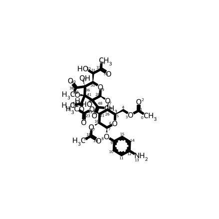 CC(=O)OC[C@H]1O[C@H](Oc2ccc(N)cc2)[C@H](OC(C)=O)[C@@H](OC(C)=O)[C@@H]1O[C@@H]1O[C@H](C(O)C(C)=O)[C@](O)(C(C)=O)[C@@](O)(C(C)=O)[C@]1(O)C(C)=O